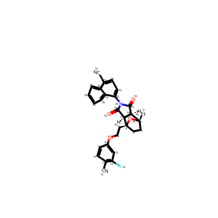 CC[C@@]12CC[C@@](CCOc3ccc(C#N)c(F)c3)(O1)[C@H]1C(=O)N(c3ccc(C#N)c4ccccc34)C(=O)[C@H]12